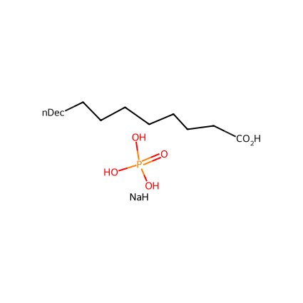 CCCCCCCCCCCCCCCCCC(=O)O.O=P(O)(O)O.[NaH]